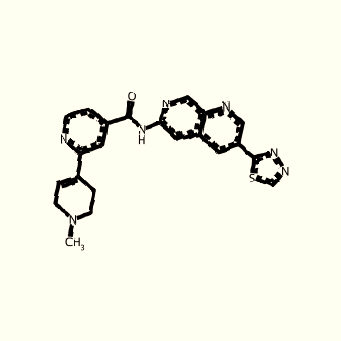 CN1CC=C(c2cc(C(=O)Nc3cc4cc(-c5nncs5)cnc4cn3)ccn2)CC1